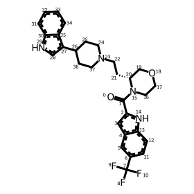 O=C(c1cc2cc(C(F)(F)F)ccc2[nH]1)N1CCOC[C@H]1CCN1CCC(c2c[nH]c3ccccc23)CC1